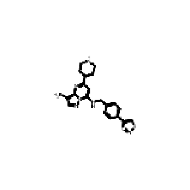 Bc1cnn2c(NCc3ccc(-c4csnn4)cc3)cc(C3CCNCC3)nc12